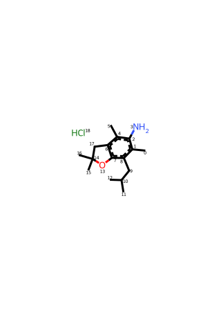 Cc1c(N)c(C)c2c(c1CC(C)C)OC(C)(C)C2.Cl